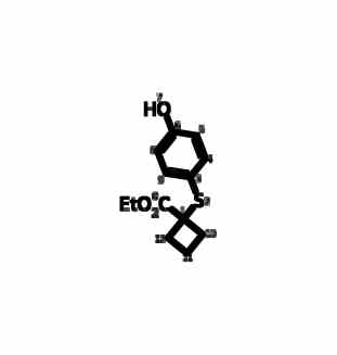 CCOC(=O)C1(Sc2ccc(O)cc2)CCC1